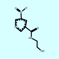 O=C(NCCO)c1cncc([N+](=O)[O-])c1